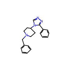 c1ccc(CN2CCC(n3cnnc3-c3ccccc3)CC2)cc1